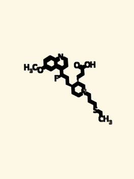 CCSCCCN1CC[C@@H](CC[C@@H](F)c2ccnc3ccc(OC)cc23)[C@H](CCC(=O)O)C1